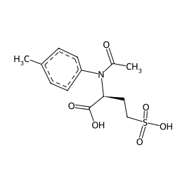 CC(=O)N(c1ccc(C)cc1)[C@@H](CCS(=O)(=O)O)C(=O)O